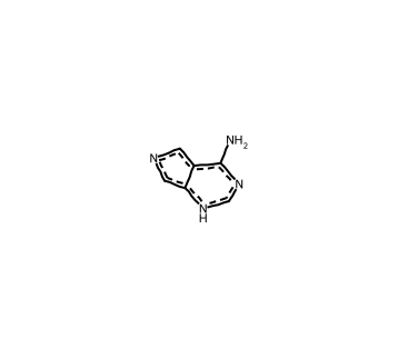 Nc1nc[nH]c2cncc1-2